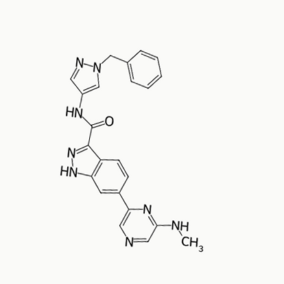 CNc1cncc(-c2ccc3c(C(=O)Nc4cnn(Cc5ccccc5)c4)n[nH]c3c2)n1